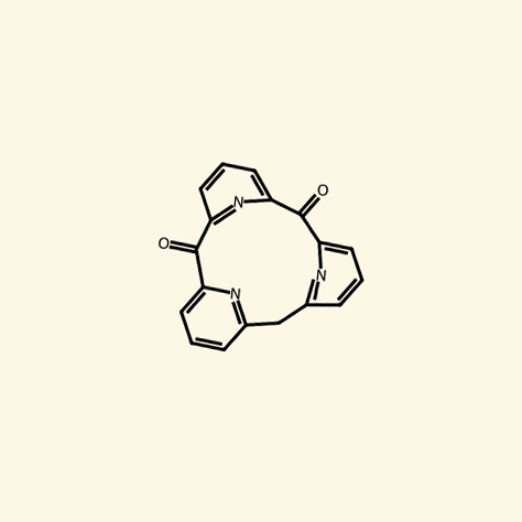 O=C1c2cccc(n2)Cc2cccc(n2)C(=O)c2cccc1n2